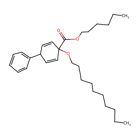 CCCCCCCCCCOC1(C(=O)OCCCCCC)C=CC(c2ccccc2)C=C1